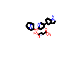 CN1C2CCC1CC(Oc1ccc(-c3ccc4[nH]ccc4c3)cn1)C2.O=C(O)/C=C/C(=O)O